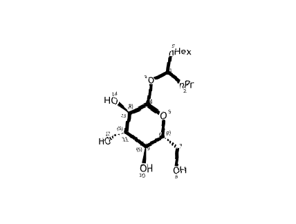 CCCCCCC(CCC)OC1O[C@H](CO)[C@@H](O)[C@H](O)[C@H]1O